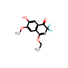 CCOC1=BC(F)(F)C(=O)c2cc(O)c(OC)cc21